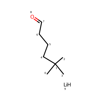 CC(C)(C)CCCC=O.[LiH]